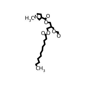 CCCCCCCCCCCC(=O)OCC(COC=O)COC(=O)C1CCN(C)C1